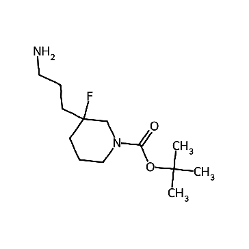 CC(C)(C)OC(=O)N1CCCC(F)(CCCN)C1